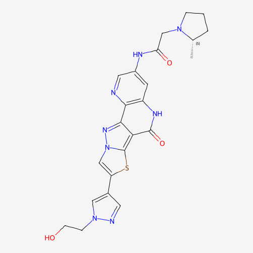 C[C@H]1CCCN1CC(=O)Nc1cnc2c(c1)[nH]c(=O)c1c2nn2cc(-c3cnn(CCO)c3)sc12